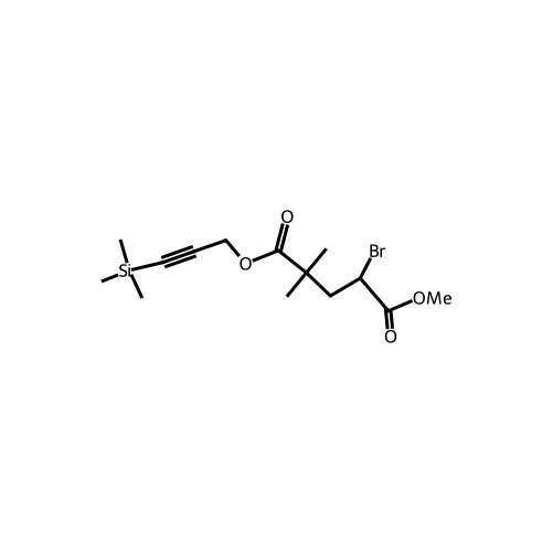 COC(=O)C(Br)CC(C)(C)C(=O)OCC#C[Si](C)(C)C